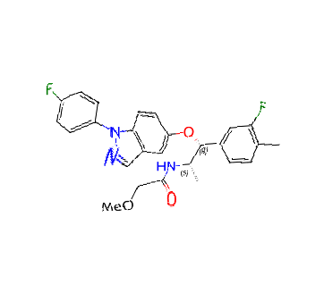 COCC(=O)N[C@@H](C)[C@H](Oc1ccc2c(cnn2-c2ccc(F)cc2)c1)c1ccc(C)c(F)c1